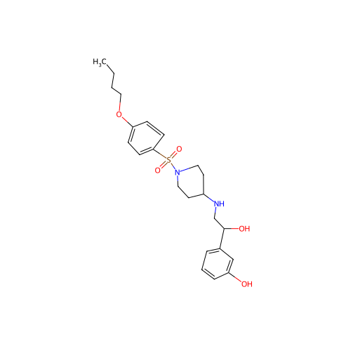 CCCCOc1ccc(S(=O)(=O)N2CCC(NCC(O)c3cccc(O)c3)CC2)cc1